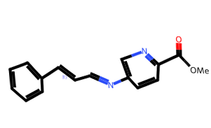 COC(=O)c1ccc(N=C/C=C/c2ccccc2)cn1